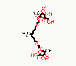 CC(CCCCOCCO[C@@H]1OC(CO)[C@H](O)C(O)[C@@H]1C)CCCCOCCO[C@@H]1OC(CO)[C@H](O)C(O)[C@@H]1C